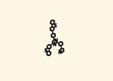 c1cncc(-c2cccc(-c3nc(-c4ccc(-c5ccc6c(c5)sc5ccccc56)cc4)cc(-c4ccc5sc6ccccc6c5c4)n3)c2)c1